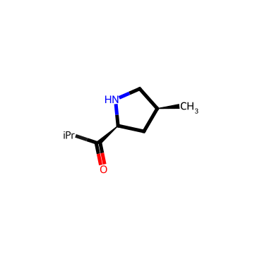 CC(C)C(=O)[C@@H]1C[C@H](C)CN1